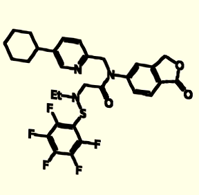 CCN(CC(=O)N(Cc1ccc(C2CCCCC2)cn1)c1ccc2c(c1)COC2=O)Sc1c(F)c(F)c(F)c(F)c1F